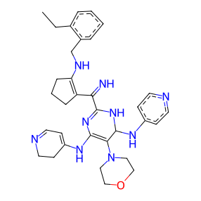 CCc1ccccc1CNC1=C(C(=N)C2=NC(NC3=CC=NCC3)=C(N3CCOCC3)C(Nc3ccncc3)N2)CCC1